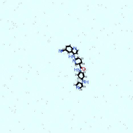 N#Cc1ccc2nccc(NC3=CCC=C(C(=O)NC4=CC[C@@H](Nc5ccncc5)C=C4)C=N3)c2c1